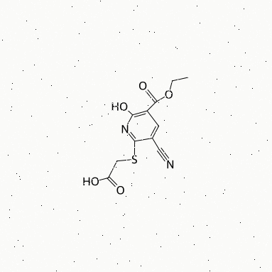 CCOC(=O)c1cc(C#N)c(SCC(=O)O)nc1O